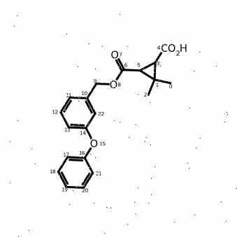 CC1(C)C(C(=O)O)C1C(=O)OCc1cccc(Oc2ccccc2)c1